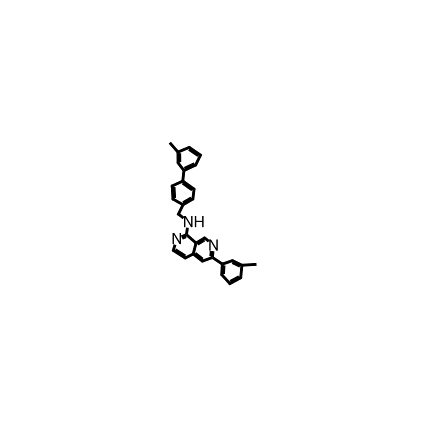 Cc1cccc(-c2ccc(CNc3nccc4cc(-c5cccc(C)c5)ncc34)cc2)c1